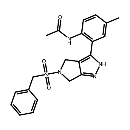 CC(=O)Nc1ccc(C)cc1-c1[nH]nc2c1CN(S(=O)(=O)Cc1ccccc1)C2